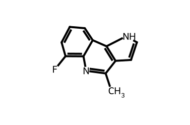 Cc1nc2c(F)cccc2c2[nH]ccc12